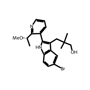 CO[C@@H](C)c1ncccc1-c1[nH]c2ccc(Br)cc2c1CC(C)(C)CO